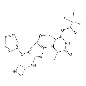 CC1C(=O)NN(OC(=O)C(F)(F)F)C2COc3cc(Oc4ccccc4)c(NC4CNC4)cc3N12